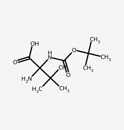 CC(C)(C)OC(=O)NC(N)(C(=O)O)C(C)(C)C